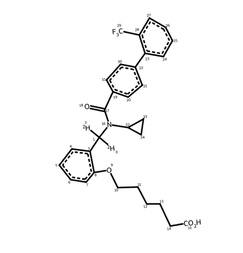 [2H]C([2H])(c1ccccc1OCCCCCC(=O)O)N(C(=O)c1ccc(-c2ccccc2C(F)(F)F)cc1)C1CC1